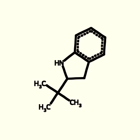 CC(C)(C)C1Cc2ccccc2N1